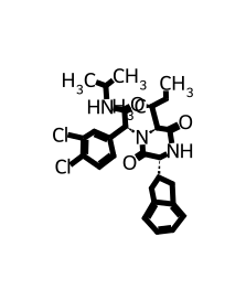 CC[C@H](C)[C@@H]1C(=O)N[C@H](C2Cc3ccccc3C2)C(=O)N1[C@@H](C(=O)NC(C)C)c1ccc(Cl)c(Cl)c1